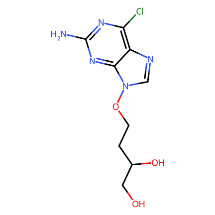 Nc1nc(Cl)c2ncn(OCCC(O)CO)c2n1